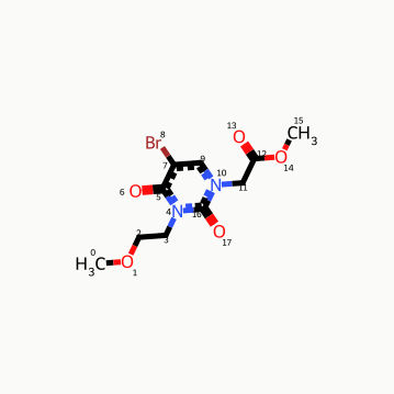 COCCn1c(=O)c(Br)cn(CC(=O)OC)c1=O